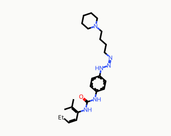 CC/C=C\C(NC(=O)Nc1ccc(N/N=N\CCCCN2CCCCC2)cc1)=C(C)C